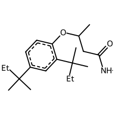 CCC(C)(C)c1ccc(OC(C)CC([NH])=O)c(C(C)(C)CC)c1